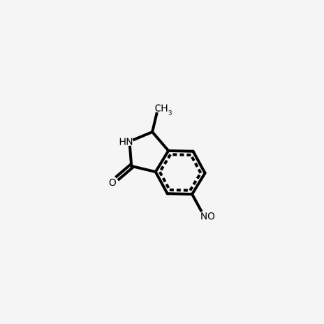 CC1NC(=O)c2cc(N=O)ccc21